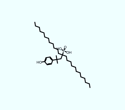 CCCCCCCCCCCCC(CCCCCCCCCCCC)(CC(C)(C)c1ccc(O)cc1)P(=O)(O)O